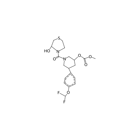 COC(=O)OC1CC(c2ccc(OC(F)F)cc2)CN(C(=O)N2CCSCC2O)C1